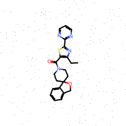 CCc1nc(-c2ncccn2)sc1C(=O)N1CCC2(CC1)OCc1ccccc12